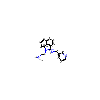 CCN(CC)CCN1/C(=N/Cc2cccnc2)c2cccc3cccc1c23